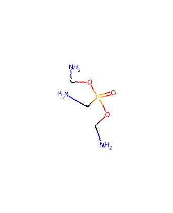 NCOP(=O)(CN)OCN